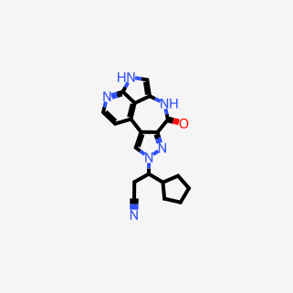 N#CCC(C1CCCC1)n1cc2c(n1)C(=O)Nc1c[nH]c3nccc-2c13